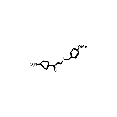 COc1ccc(CNC=CC(=O)c2ccc([N+](=O)[O-])cc2)cc1